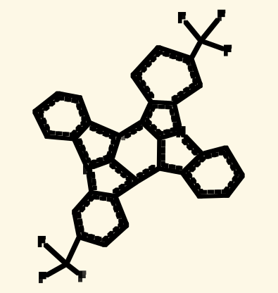 FC(F)(F)c1ccc2c3c4c5ccccc5n5c6cc(C(F)(F)F)ccc6c(c6c7ccccc7n(c2c1)c63)c45